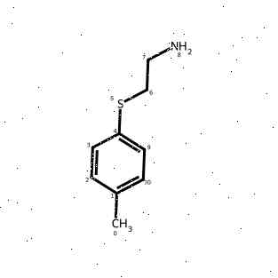 Cc1ccc(SCCN)cc1